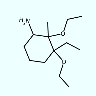 CCOC1(CC)CCCC(N)C1(C)OCC